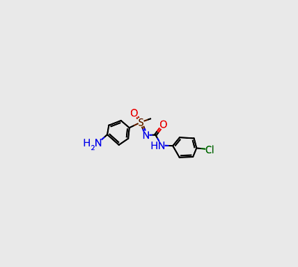 CS(=O)(=NC(=O)Nc1ccc(Cl)cc1)c1ccc(N)cc1